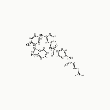 CN(C)C/C=C/C(=O)Nc1ccc(S(=O)(=O)Nc2cccc(Nc3ncc(Cl)c(-c4c[nH]c5ccccc45)n3)c2)cc1